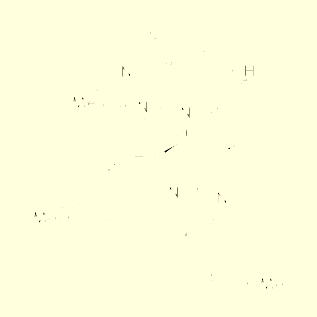 COc1ccc(CN(Cc2ccc(OC)cc2)c2ncccc2[C@@H](C)N(CCO)c2nc(SC)nc(Cl)c2F)cc1